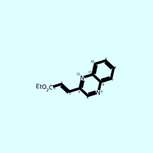 CCOC(=O)C=Cc1cnc2ccccc2n1